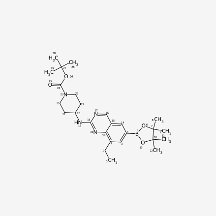 CCc1cc(B2OC(C)(C)C(C)(C)O2)cc2cnc(NC3CCN(C(=O)OC(C)(C)C)CC3)nc12